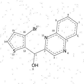 OC(c1cnc2ccccc2n1)c1sccc1Br